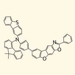 CC1(C)c2ccccc2-c2c(N(c3ccc(-c4ccc5oc6cc7oc(-c8ccccc8)nc7cc6c5c4)cc3)c3ccc4sc5ccccc5c4c3)cccc21